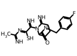 CC(=N)/N=C(\S)C(=N)N1C(=N)C2CCC1C(=O)N2Cc1ccc(F)cc1